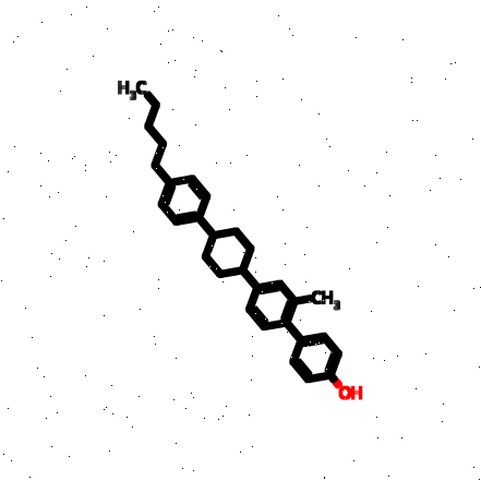 CCCCCc1ccc(C2CCC(c3ccc(-c4ccc(O)cc4)c(C)c3)CC2)cc1